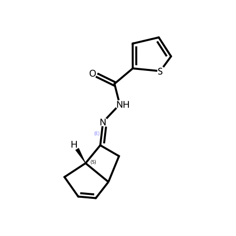 O=C(N/N=C1\CC2C=CC[C@H]12)c1cccs1